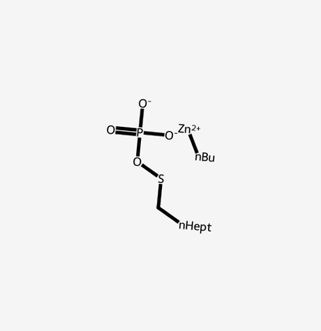 CCCCCCCCSOP(=O)([O-])[O-].CCC[CH2][Zn+2]